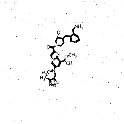 CO[C@H](C)c1cc(N(C)Cc2nonc2C)cn2cc(C(=O)N3CCC(Cc4ccccc4CN)[C@H](O)C3)nc12